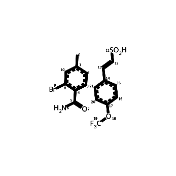 Cc1ccc(C(N)=O)c(Br)c1.O=S(=O)(O)C=Cc1ccc(OC(F)(F)F)cc1